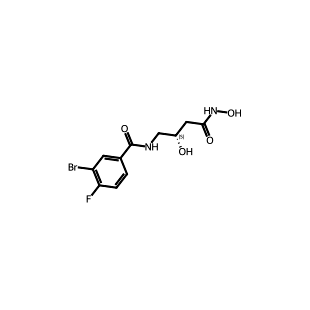 O=C(C[C@H](O)CNC(=O)c1ccc(F)c(Br)c1)NO